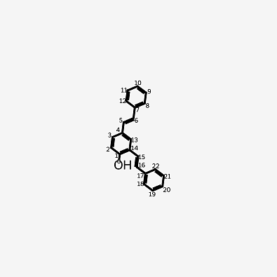 Oc1ccc(C=Cc2ccccc2)cc1C=Cc1ccccc1